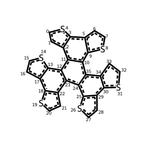 c1cc2c(s1)c1ccsc1c1c2c2c3sccc3c3sccc3c2c2c3sccc3c3sccc3c12